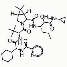 CCC[C@H](NC(=O)[C@@H]1[C@@H]2[C@H](CN1C(=O)[C@@H](NC(=O)[C@@H](NC(=O)c1ccccn1)C1CCCCC1)C(C)(C)C)C2(C)C)C(O)C(=O)NC1CC1